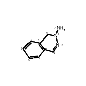 NN1Cc2[c]cccc2C=N1